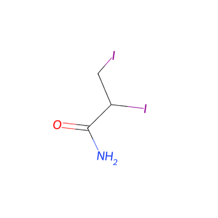 NC(=O)C(I)CI